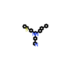 c1ccc(-c2ccc3cc(-c4cc(-c5ccc(-c6cc7ccccc7s6)cc5)nc(-c5ccc(-c6cccnc6)cc5)n4)ccc3c2)cc1